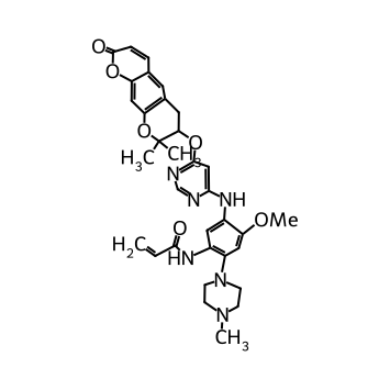 C=CC(=O)Nc1cc(Nc2cc(OC3Cc4cc5ccc(=O)oc5cc4OC3(C)C)ncn2)c(OC)cc1N1CCN(C)CC1